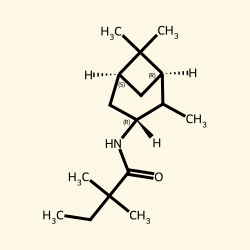 CCC(C)(C)C(=O)N[C@@H]1C[C@@H]2C[C@H](C1C)C2(C)C